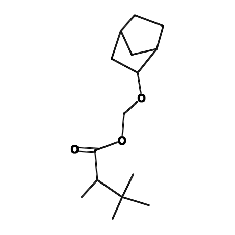 CC(C(=O)OCOC1CC2CCC1C2)C(C)(C)C